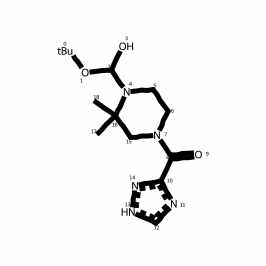 CC(C)(C)OC(O)N1CCN(C(=O)c2nc[nH]n2)CC1(C)C